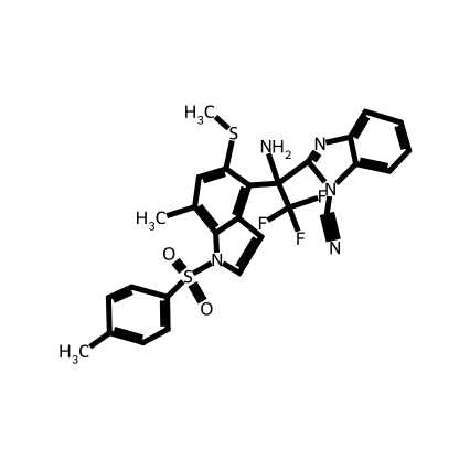 CSc1cc(C)c2c(ccn2S(=O)(=O)c2ccc(C)cc2)c1C(N)(c1nc2ccccc2n1C#N)C(F)(F)F